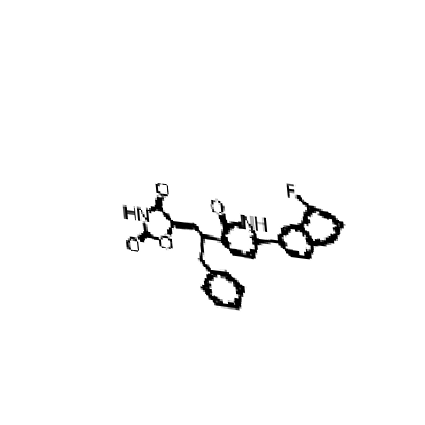 O=C1NC(=O)C(=CC(Cc2ccccc2)c2ccc(-c3ccc4cccc(F)c4c3)[nH]c2=O)O1